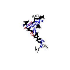 CN(C)c1ccc(-c2ccc3nc(CC(NC(=O)c4cc(C5(C)CC5)nn4C4CC4)C(=O)NC4(C#N)CC4)oc3c2)cn1